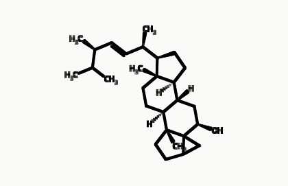 CC(C)[C@@H](C)C=C[C@@H](C)[C@H]1CC[C@H]2[C@@H]3C[C@@H](O)C45CC4CC[C@]5(C)[C@H]3CC[C@]12C